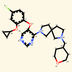 Fc1ccc(Oc2cncnc2N2CCC3(CCN(CC4CCOCC4)C3)C2)c(OC2CC2)c1